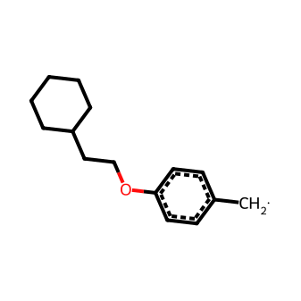 [CH2]c1ccc(OCCC2CCCCC2)cc1